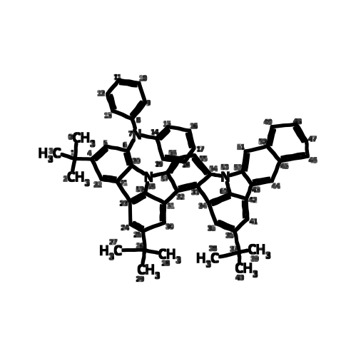 CC(C)(C)c1cc(N(c2ccccc2)c2ccccc2)c2c(c1)c1cc(C(C)(C)C)cc3c4c5c6cc(C(C)(C)C)cc7c8cc9ccccc9cc8n(c5ccc4n2c13)c76